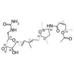 CC(=O)O[C@@H](C)/C=C\C(=O)N[C@@H]1C[C@H](C)[C@H](C/C=C(C)/C=C/[C@H]2O[C@H](CNC(N)=O)C[C@@]3(CO3)[C@@H]2O)O[C@@H]1C